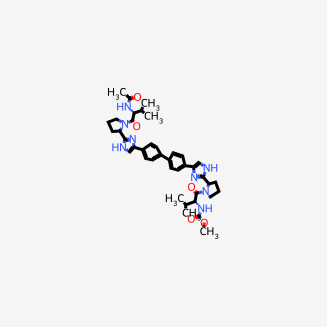 COC(=O)N[C@H](C(=O)N1CCCC1c1nc(-c2ccc(-c3ccc(-c4c[nH]c(C5CCCN5C(=O)[C@@H](NC(C)=O)C(C)C)n4)cc3)cc2)c[nH]1)C(C)C